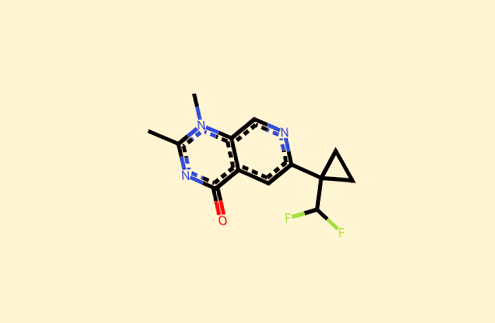 Cc1nc(=O)c2cc(C3(C(F)F)CC3)ncc2n1C